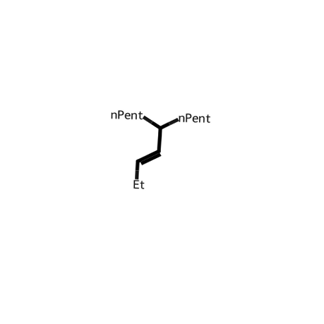 [CH2]CC=CC(CCCCC)CCCCC